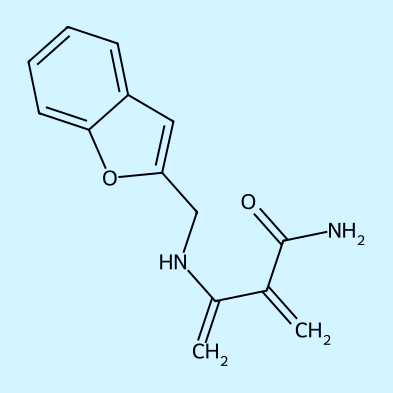 C=C(NCc1cc2ccccc2o1)C(=C)C(N)=O